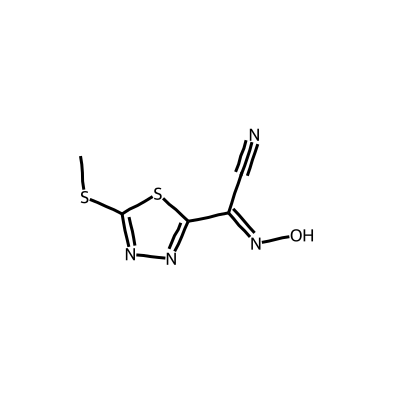 CSc1nnc(/C(C#N)=N/O)s1